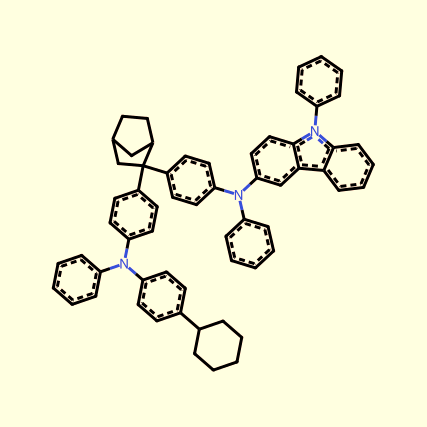 c1ccc(N(c2ccc(C3CCCCC3)cc2)c2ccc(C3(c4ccc(N(c5ccccc5)c5ccc6c(c5)c5ccccc5n6-c5ccccc5)cc4)CC4CCC3C4)cc2)cc1